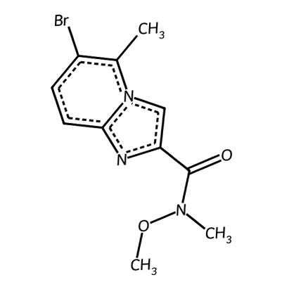 CON(C)C(=O)c1cn2c(C)c(Br)ccc2n1